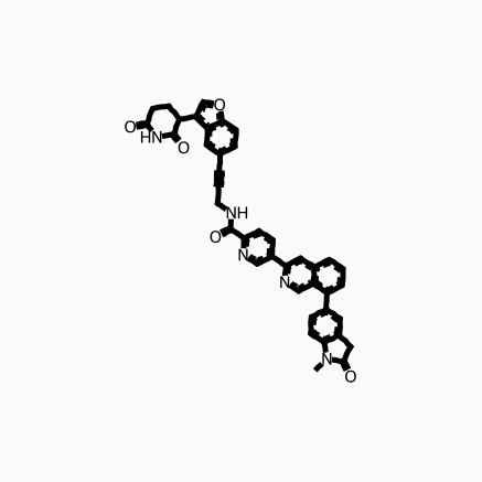 CN1C(=O)Cc2cc(-c3cccc4cc(-c5ccc(C(=O)NCC#Cc6ccc7occ(C8CCC(=O)NC8=O)c7c6)nc5)ncc34)ccc21